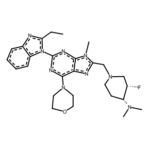 CCc1nc2ccccc2n1-c1nc(N2CCOCC2)c2nc(CN3CC[C@@H](N(C)C)[C@@H](F)C3)n(C)c2n1